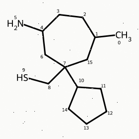 CC1CCC(N)CC(CS)(C2CCCC2)C1